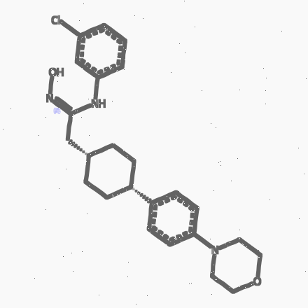 O/N=C(/C[C@H]1CC[C@@H](c2ccc(N3CCOCC3)cc2)CC1)Nc1cccc(Cl)c1